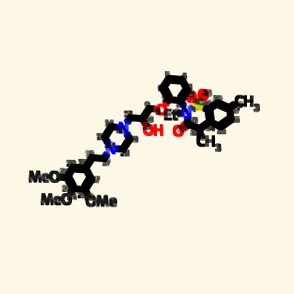 CC[N+]1(c2ccccc2OCC(O)CN2CCN(CCc3cc(OC)c(OC)c(OC)c3)CC2)C(=O)C(C)c2ccc(C)cc2S1(=O)=O